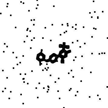 Cc1cc(Cl)c(N2CCN(C[C@@H]3C[C@@H](C)CC[C@H]3I)CC2)cc1S(C)(=O)=O